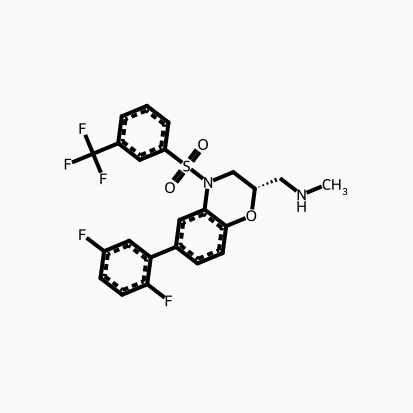 CNC[C@H]1CN(S(=O)(=O)c2cccc(C(F)(F)F)c2)c2cc(-c3cc(F)ccc3F)ccc2O1